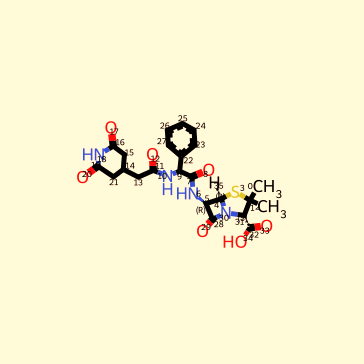 CC1(C)S[C@@H]2[C@H](NC(=O)C(NC(=O)CC3CC(=O)NC(=O)C3)c3ccccc3)C(=O)N2[C@H]1C(=O)O